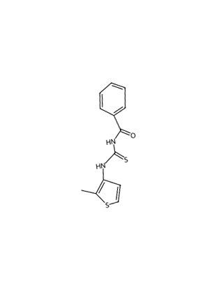 Cc1sccc1NC(=S)NC(=O)c1ccccc1